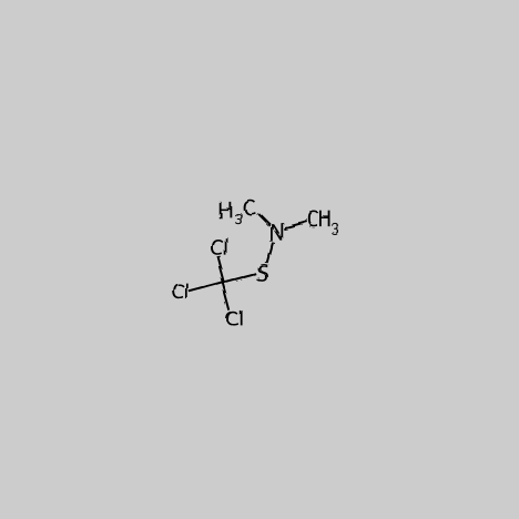 CN(C)SC(Cl)(Cl)Cl